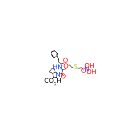 CC(NC(CCc1ccccc1)C(=O)OCCSCCON(O)O)C(=O)N1C(C(=O)O)CC2CCCC21